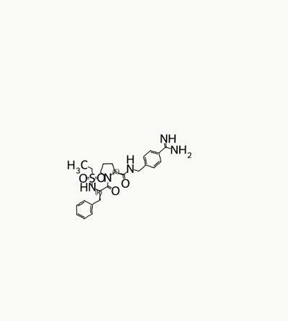 CCS(=O)(=O)N[C@H](Cc1ccccc1)C(=O)N1CCC[C@H]1C(=O)NCc1ccc(C(=N)N)cc1